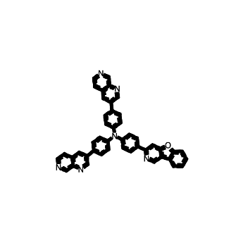 c1ccc2c(c1)oc1cc(-c3ccc(N(c4ccc(-c5cnc6cnccc6c5)cc4)c4ccc(-c5cnc6cnccc6c5)cc4)cc3)ncc12